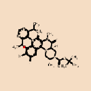 CC(C)c1ncnc(C(C)C)c1-n1c(=O)c2c(c3cc(Cl)c(Br)c(F)c31)N1C[C@@H](C)N(C(=O)OC(C)(C)C)C[C@@H]1C(=O)N2C